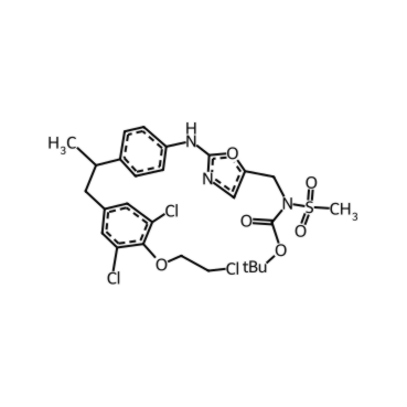 CC(Cc1cc(Cl)c(OCCCl)c(Cl)c1)c1ccc(Nc2ncc(CN(C(=O)OC(C)(C)C)S(C)(=O)=O)o2)cc1